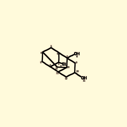 CCC1C2CC3CC1C1(O)CC(O)CC2C1C3